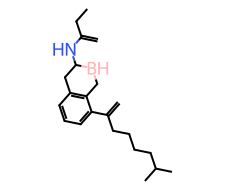 C=C(CC)NC1BCc2c(cccc2C(=C)CCCCC(C)C)C1